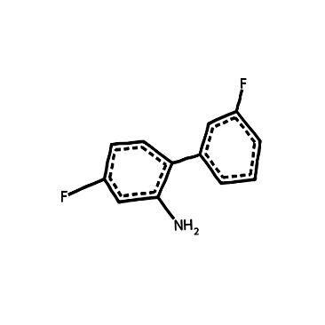 Nc1cc(F)ccc1-c1cccc(F)c1